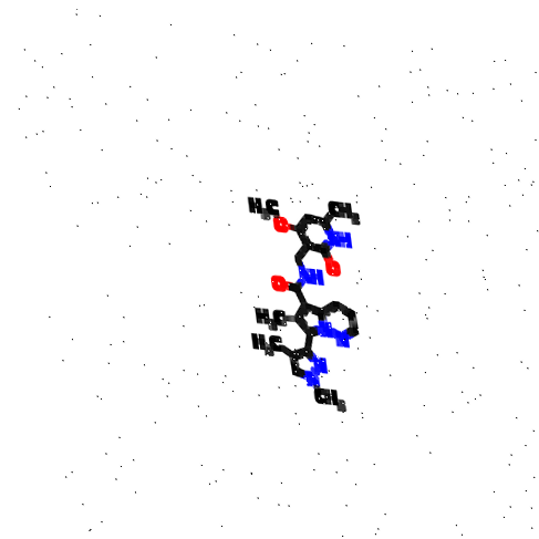 COc1cc(C)[nH]c(=O)c1CNC(=O)c1c(C)c(-c2nn(C)cc2C)n2ncccc12